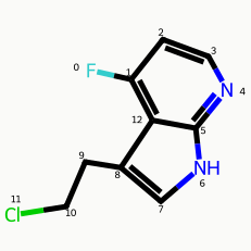 Fc1ccnc2[nH]cc(CCCl)c12